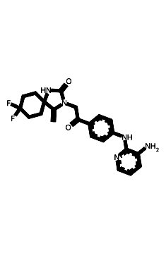 C=C1N(CC(=O)c2ccc(Nc3ncccc3N)cc2)C(=O)NC12CCC(F)(F)CC2